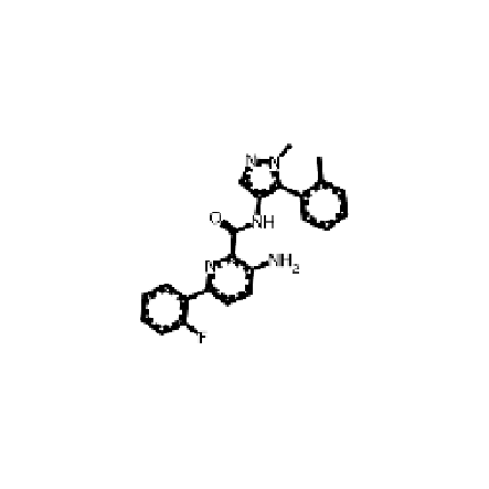 Cc1ccccc1-c1c(NC(=O)c2nc(-c3ccccc3F)ccc2N)cnn1C